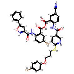 N#Cc1ccc(NC(=O)c2ccc(SCCCOc3ccc(Br)cc3)nc2)c(C(=O)OC(=O)c2cc(Br)ccc2NC(=O)c2cc(-c3ccccc3)on2)c1